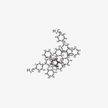 Cc1ccc(-c2ccc3c(c2)c2ccccc2n3-c2ccccc2-c2c(-c3nc(-c4ccccc4)cc(-c4ccccc4)n3)cccc2-n2c3ccccc3c3cc(-c4ccc(C)cc4)ccc32)cc1